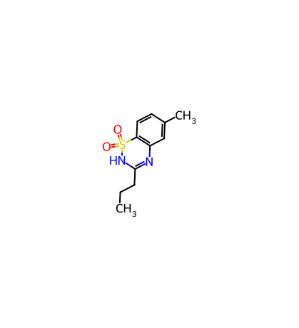 CCCC1=Nc2cc(C)ccc2S(=O)(=O)N1